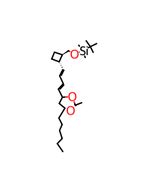 CCCCCCCCC(/C=C/C=C/[C@@H]1CC[C@H]1CO[Si](C)(C)C(C)(C)C)OC(C)=O